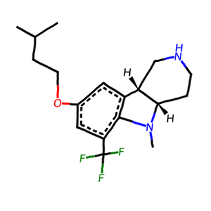 CC(C)CCOc1cc2c(c(C(F)(F)F)c1)N(C)[C@H]1CCNC[C@@H]21